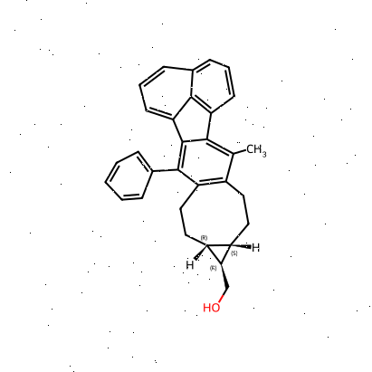 Cc1c2c(c(-c3ccccc3)c3c1-c1cccc4cccc-3c14)CC[C@H]1[C@H](CO)[C@H]1CC2